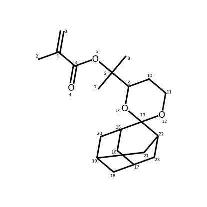 C=C(C)C(=O)OC(C)(C)C1CCOC2(O1)C1CC3CC(C1)CC2C3